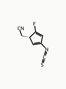 N#CC[C@H]1C=C(N=C=S)C=C1F